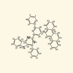 c1ccc(-c2cc(-c3nc(-c4ccccc4)c4sc5ccccc5c4n3)cc(-c3cc4c5ccccc5ccc4c4ccccc34)c2)cc1